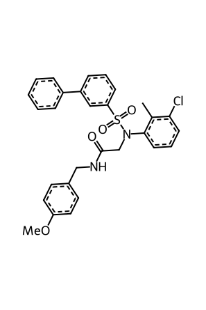 COc1ccc(CNC(=O)CN(c2cccc(Cl)c2C)S(=O)(=O)c2cccc(-c3ccccc3)c2)cc1